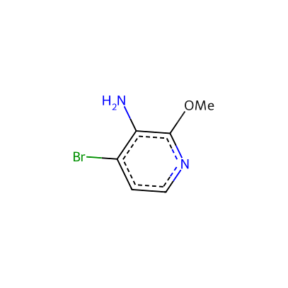 COc1nccc(Br)c1N